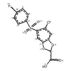 O=C(O)C1Oc2cc(Cl)c(S(=O)(=O)c3ccc(F)cc3)cc2O1